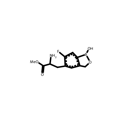 COC(=O)C(N)Cc1cc2c(cc1F)B(O)OC2